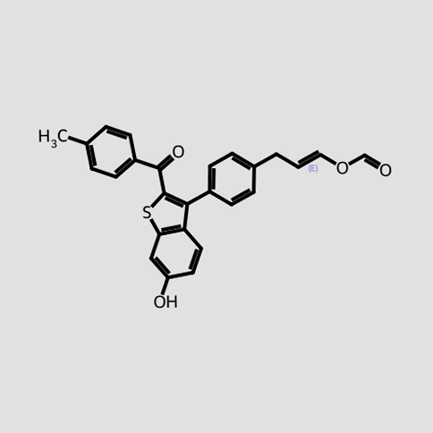 Cc1ccc(C(=O)c2sc3cc(O)ccc3c2-c2ccc(C/C=C/OC=O)cc2)cc1